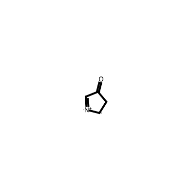 O=C1C=[N+][CH]C1